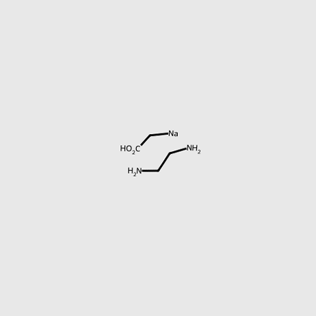 NCCN.O=C(O)[CH2][Na]